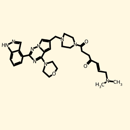 CN(C)C/C=C/C(=O)CCC(=O)N1CCN(Cc2cc3c(N4CCOCC4)nc(-c4cccc5[nH]ncc45)nn3c2)CC1